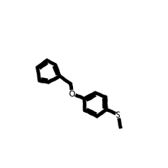 CSc1ccc(OCc2ccccc2)cc1